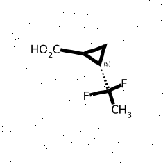 CC(F)(F)[C@H]1CC1C(=O)O